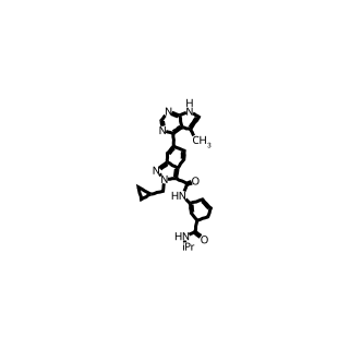 Cc1c[nH]c2ncnc(-c3ccc4c(C(=O)NC5=CC(C(=O)NC(C)C)CC=C5)n(CC5CC5)nc4c3)c12